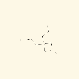 CCC[Si]1(CCC)C[SiH](Cl)C1